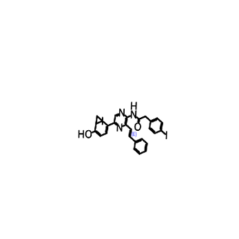 O=C(Cc1ccc(I)cc1)Nc1ncc(C2=CC=C(O)C3CI23)nc1/C=C/c1ccccc1